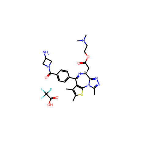 Cc1sc2c(c1C)C(c1ccc(C(=O)N3CC(N)C3)cc1)=N[C@@H](CC(=O)OCCN(C)C)c1nnc(C)n1-2.O=C(O)C(F)(F)F